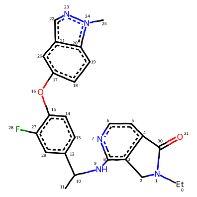 CCN1Cc2c(ccnc2NC(C)c2ccc(Oc3ccc4c(cnn4C)c3)c(F)c2)C1=O